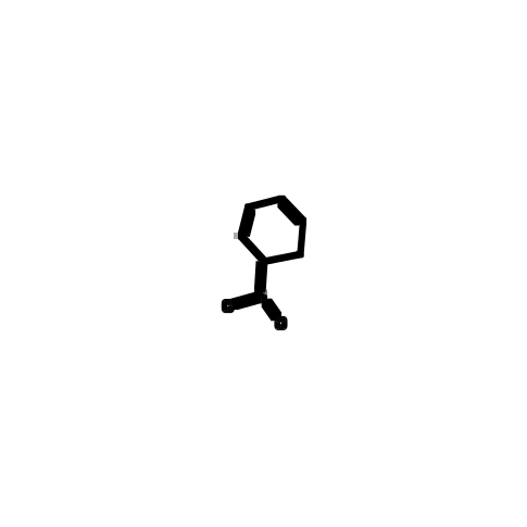 O=S(=O)=C1[C]=CC=CC1